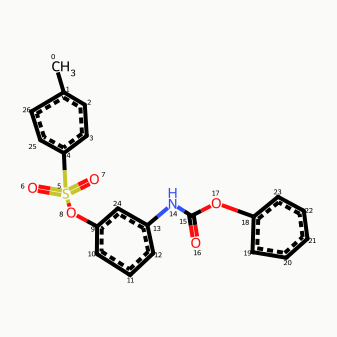 Cc1ccc(S(=O)(=O)Oc2cccc(NC(=O)Oc3ccccc3)c2)cc1